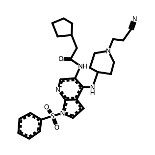 N#CCCN1CCC(Nc2c(NC(=O)CC3CCCC3)cnc3c2ccn3S(=O)(=O)c2ccccc2)CC1